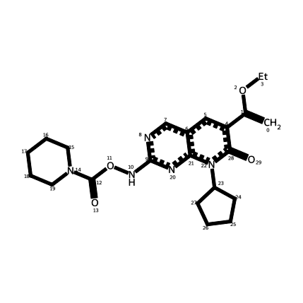 C=C(OCC)c1cc2cnc(NOC(=O)N3CCCCC3)nc2n(C2CCCC2)c1=O